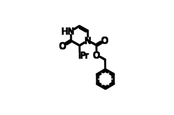 CC(C)C1C(=O)NC=CN1C(=O)OCc1ccccc1